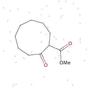 COC(=O)C1CCCCCCCC1=O